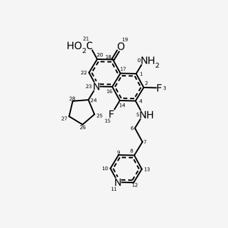 Nc1c(F)c(NCCc2ccncc2)c(F)c2c1c(=O)c(C(=O)O)cn2C1CCCC1